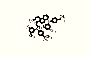 C=C/C=C\c1c(/C=C\C(=C)N(c2ccc(C(C)C)cc2)c2cc(C)cc(C)c2)ccc2c(N(c3ccc(C(C)C)cc3)c3cc(C)cc(C)c3)cccc12